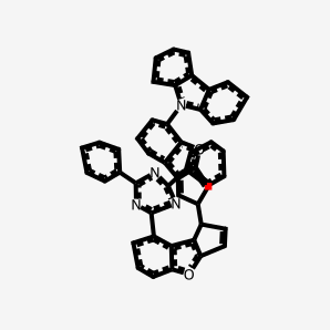 C1=CC(C2C=c3oc4c(-n5c6ccccc6c6ccccc65)cccc4c3=C2)c2c1oc1cccc(-c3nc(-c4ccccc4)nc(-c4ccccc4)n3)c21